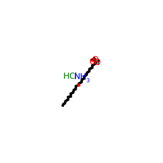 CCCCCCCCCCCCCCCCCCCCCCCCC[Si](OC)(OC)OC.Cl.N